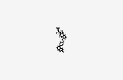 Cc1ccc2c(N3CCN(CCc4cccc5c4OCc4c(C(=O)C6CC6)ncn4-5)CC3)cccc2n1